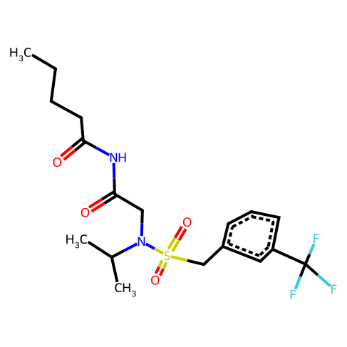 CCCCC(=O)NC(=O)CN(C(C)C)S(=O)(=O)Cc1cccc(C(F)(F)F)c1